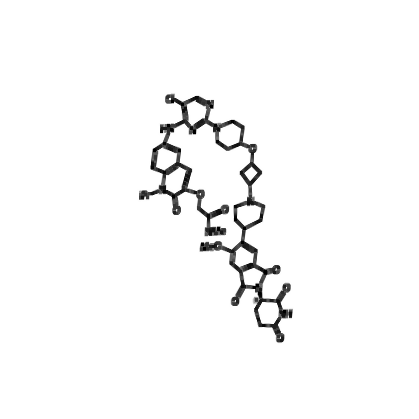 CNC(=O)COc1cc2cc(Nc3nc(N4CCC(OC5CC(N6CCC(c7cc8c(cc7OC)C(=O)N([C@@H]7CCC(=O)NC7=O)C8=O)CC6)C5)CC4)ncc3Cl)ccc2n(C(C)C)c1=O